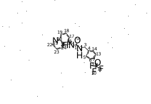 O=C(NCc1ccc(OC(F)(F)F)cc1)Nc1cccc2ncccc12